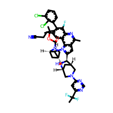 Cc1nc2c(F)c(-c3cccc(Cl)c3Cl)c(CCC#N)cc2c2c1cc([C@@H]1N[C@@H]3C[C@H]1CN(c1cc(C(C)(F)F)ncn1)C3)n2[C@H]1[C@@H]2C[C@H]1N(C(=O)OC(C)(C)C)C2